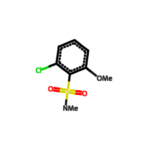 CNS(=O)(=O)c1c(Cl)cccc1OC